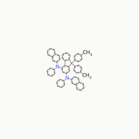 Cc1ccc(C2(c3ccc(C)cc3)c3ccccc3-c3c(N(c4ccccc4)c4ccc5ccccc5c4)cc(N(c4ccccc4)c4ccc5ccccc5c4)cc32)cc1